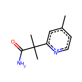 Cc1ccnc(C(C)(C)C(N)=O)c1